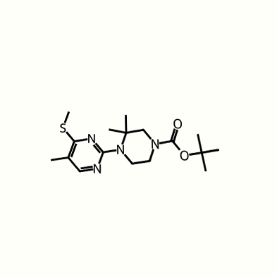 CSc1nc(N2CCN(C(=O)OC(C)(C)C)CC2(C)C)ncc1C